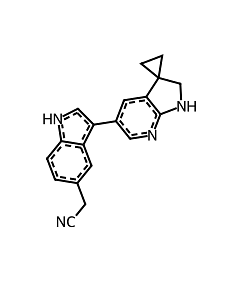 N#CCc1ccc2[nH]cc(-c3cnc4c(c3)C3(CC3)CN4)c2c1